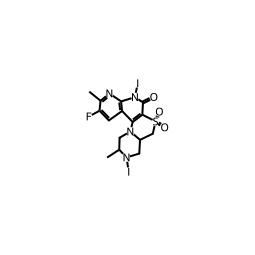 Cc1nc2c(cc1F)c1c(c(=O)n2I)S(=O)(=O)CC2CN(I)C(C)CN12